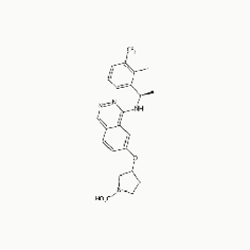 Cc1c([C@@H](C)Nc2nncc3ccc(OC4CCN(C(=O)O)C4)cc23)cccc1C(F)(F)F